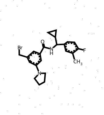 Cc1cc(C(NC(=O)c2cc(CBr)cc(N3CCCC3)c2)C2CC2)ccc1F